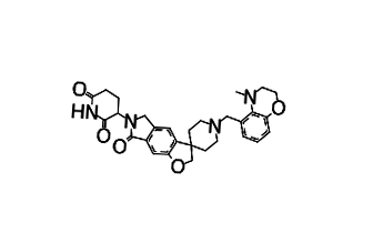 CN1CCOc2cccc(CN3CCC4(CC3)COc3cc5c(cc34)CN(C3CCC(=O)NC3=O)C5=O)c21